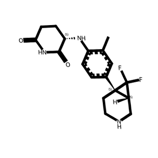 Cc1cc([C@]23CCNC[C@H]2C3(F)F)ccc1N[C@H]1CCC(=O)NC1=O